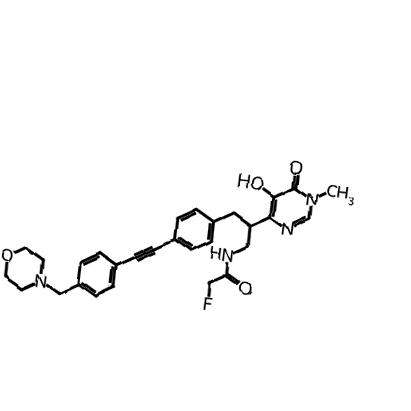 Cn1cnc(C(CNC(=O)CF)Cc2ccc(C#Cc3ccc(CN4CCOCC4)cc3)cc2)c(O)c1=O